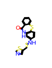 O=C1Nc2cc(NSCc3cncs3)ccc2Sc2ccccc21